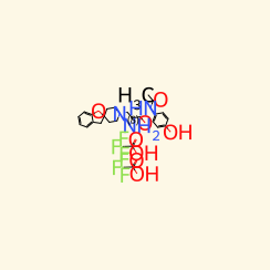 CC(=O)Nc1ccc(O)cc1OC[C@@H](N)CN1CCC2(CC1)Cc1ccccc1O2.O=C(O)C(F)(F)F.O=C(O)C(F)(F)F